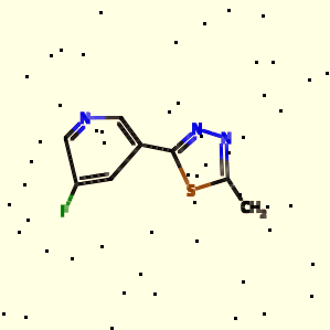 [CH2]c1nnc(-c2cncc(F)c2)s1